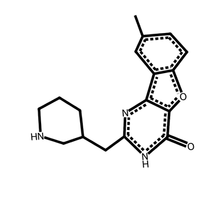 Cc1ccc2oc3c(=O)[nH]c(CC4CCCNC4)nc3c2c1